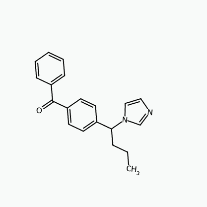 CCCC(c1ccc(C(=O)c2ccccc2)cc1)n1ccnc1